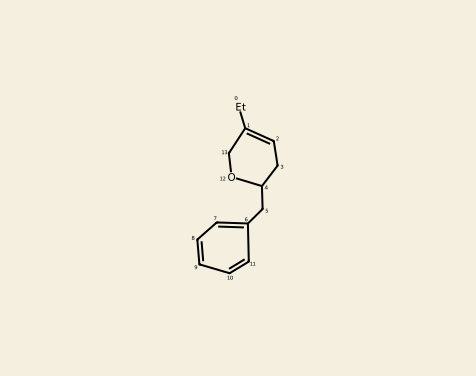 CCC1=CCC(Cc2ccccc2)OC1